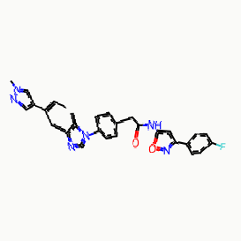 C=c1/c(=C\C(=C/C)c2cnn(C)c2)ncn1-c1ccc(CC(=O)Nc2cc(-c3ccc(F)cc3)no2)cc1